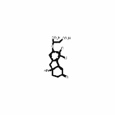 CCCC12CCC(=O)C=C1c1c(cc(OC(CC(=O)O)C(=O)O)c(Cl)c1Cl)C2